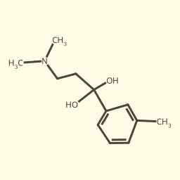 Cc1cccc(C(O)(O)CCN(C)C)c1